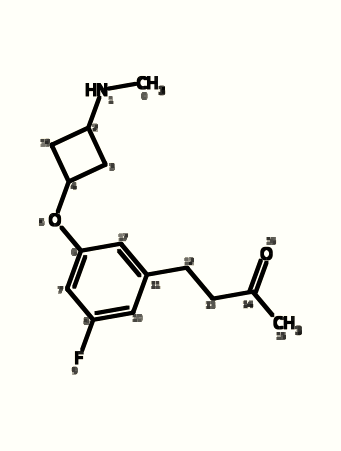 CNC1CC(Oc2cc(F)cc(CCC(C)=O)c2)C1